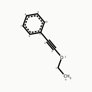 CCOC#Cc1ccccc1